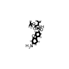 CC(C)[C@H](NS(=O)(=O)c1ccc2c(c1)oc1cc(N)ccc12)C(=O)OC(C)(C)C